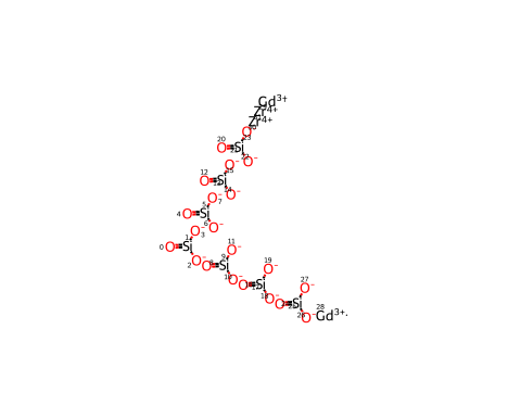 O=[Si]([O-])[O-].O=[Si]([O-])[O-].O=[Si]([O-])[O-].O=[Si]([O-])[O-].O=[Si]([O-])[O-].O=[Si]([O-])[O-].O=[Si]([O-])[O-].[Gd+3].[Gd+3].[Zr+4].[Zr+4]